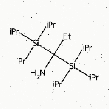 CCC(N)([Si](C(C)C)(C(C)C)C(C)C)[Si](C(C)C)(C(C)C)C(C)C